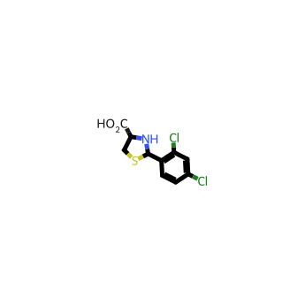 O=C(O)C1CSC(c2ccc(Cl)cc2Cl)N1